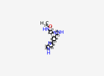 CCC(=O)N[C@H]1CC[C@@H](N2CNC=C2c2ccc(-c3ccc4[nH]ccc4n3)cc2)C1